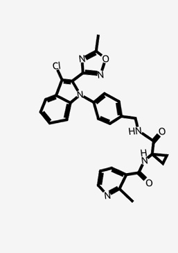 Cc1nc(-c2c(Cl)c3ccccc3n2-c2ccc(CNC(=O)C3(NC(=O)c4cccnc4C)CC3)cc2)no1